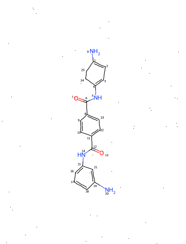 NC1=CC=C(NC(=O)c2ccc(C(=O)Nc3cccc(N)c3)cc2)CC1